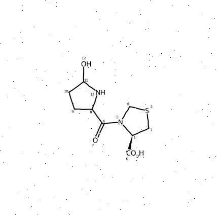 O=C(O)[C@@H]1CSCN1C(=O)C1CCC(O)N1